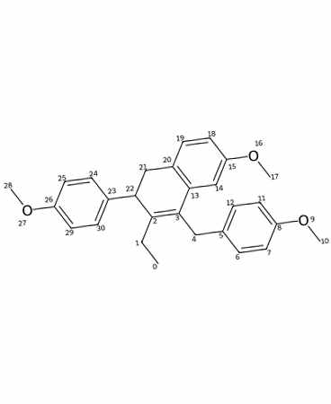 CCC1=C(Cc2ccc(OC)cc2)c2cc(OC)ccc2CC1c1ccc(OC)cc1